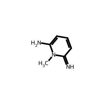 Cn1c(N)cccc1=N